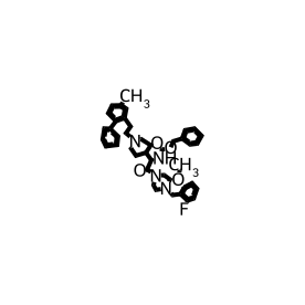 CCOc1cccc(F)c1CN1CCN(C(=O)[C@H](NC(=O)OCc2ccccc2)C2CCN(CCc3cc(C)ccc3-c3ccccc3)CC2)CC1